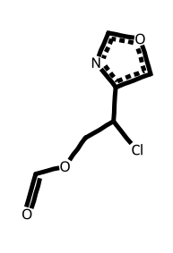 O=COCC(Cl)c1cocn1